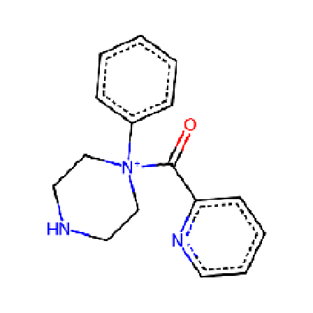 O=C(c1ccccn1)[N+]1(c2ccccc2)CCNCC1